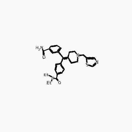 CCN(CC)C(=O)c1ccc(C(=C2CCN(Cc3cncs3)CC2)c2cccc(C(N)=O)c2)cc1